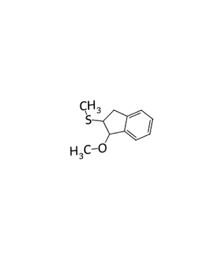 COC1c2ccccc2CC1SC